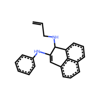 C=CCNC1C(Nc2ccccc2)=Cc2cccc3cccc1c23